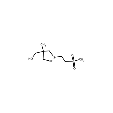 CC(CO)(CO)CSCCS(C)(=O)=O